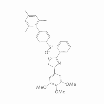 COc1cc([C@H]2COC(c3ccccc3[S+]([O-])c3ccc(-c4c(C)cc(C)cc4C)cc3)=N2)cc(OC)c1OC